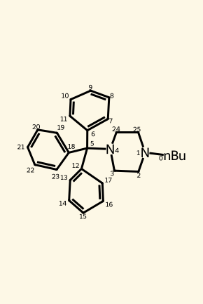 CCCCN1CCN(C(c2ccccc2)(c2ccccc2)c2ccccc2)CC1